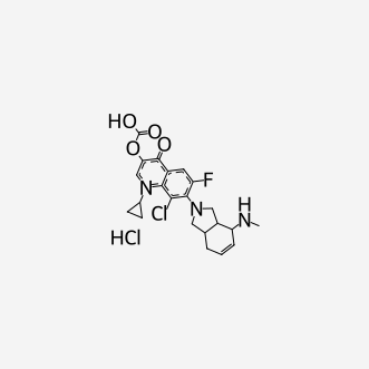 CNC1C=CCC2CN(c3c(F)cc4c(=O)c(OC(=O)O)cn(C5CC5)c4c3Cl)CC21.Cl